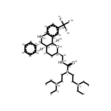 CCN(CC)CCN(CCN(CC)CC)C(=O)NC[C@H]1CC[C@@H]2[C@H](O1)c1cc(C(F)(F)F)ccc1N[C@H]2c1ccccc1